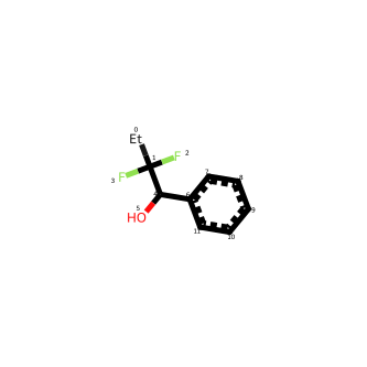 CCC(F)(F)C(O)c1ccccc1